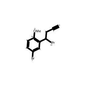 C#CCC(c1cc(Br)ccc1OC)C(C)C